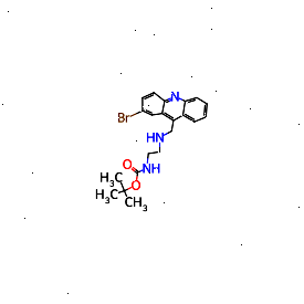 CC(C)(C)OC(=O)NCCNCc1c2ccccc2nc2ccc(Br)cc12